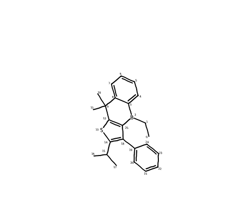 CCB1c2ccccc2C(C)(C)c2sc(C(C)C)c(-c3ccccc3)c21